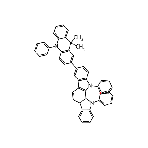 CC1(C)c2ccccc2N(c2ccccc2)c2ccc(-c3ccc4c(c3)c3c(n4-c4ccccc4)C4C(C=C3)c3ccccc3N4c3ccccc3)cc21